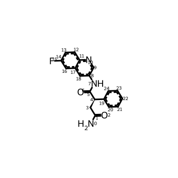 NC(=O)C[C@@H](C(=O)Nc1cnc2ccc(F)cc2c1)c1ccccc1